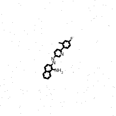 Cc1cc(F)ccc1-c1ccc(N=Nc2ccc3ccccc3c2N)cn1